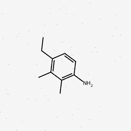 CCc1ccc(N)c(C)c1C